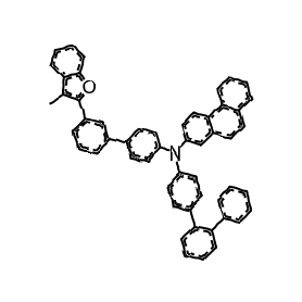 Cc1c(-c2cccc(-c3ccc(N(c4ccc(-c5ccccc5-c5ccccc5)cc4)c4ccc5c(ccc6ccccc65)c4)cc3)c2)oc2ccccc12